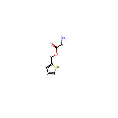 NCC(=O)OCc1cccs1